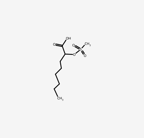 CCCCCCC(OS(C)(=O)=O)C(=O)O